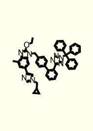 CCOc1nc2c(C)cc(-c3cn(CC4CC4)cn3)cc2n1Cc1ccc(-c2ccccc2-c2nnn(C(c3ccccc3)(c3ccccc3)c3ccccc3)n2)cc1